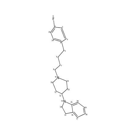 Fc1ccc(CCCCN2CCC(N3CCc4ccccc43)CC2)cc1